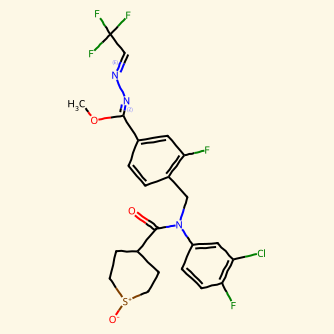 CO/C(=N\N=C\C(F)(F)F)c1ccc(CN(C(=O)C2CC[S+]([O-])CC2)c2ccc(F)c(Cl)c2)c(F)c1